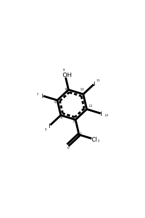 C=C(Cl)c1c(I)c(I)c(O)c(I)c1I